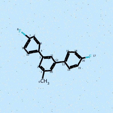 Cc1cc(-c2ccc(F)cc2)cc(-c2ccc(F)cc2)c1